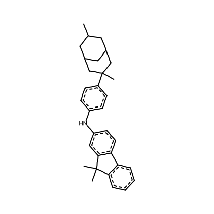 CC1CC2CC(C1)CC(C)(c1ccc(Nc3ccc4c(c3)C(C)(C)c3ccccc3-4)cc1)C2